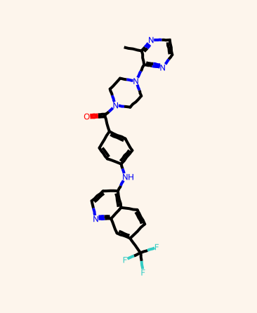 Cc1nccnc1N1CCN(C(=O)c2ccc(Nc3ccnc4cc(C(F)(F)F)ccc34)cc2)CC1